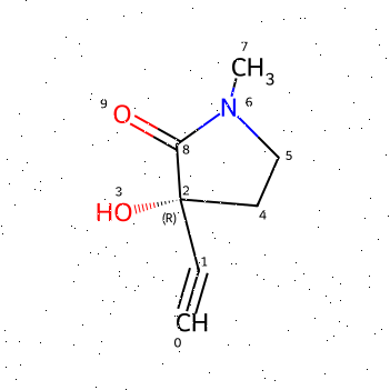 C#C[C@]1(O)CCN(C)C1=O